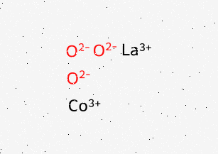 [Co+3].[La+3].[O-2].[O-2].[O-2]